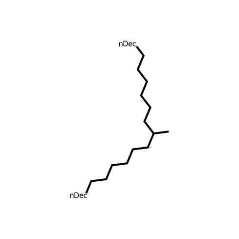 CCCCCCCCCCCCCCC[CH]C(C)CCCCCCCCCCCCCCCC